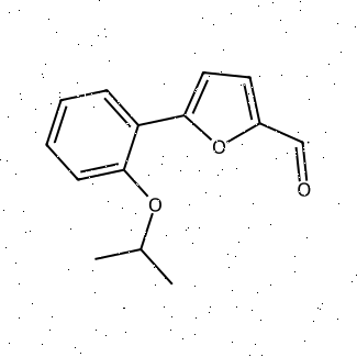 CC(C)Oc1ccccc1-c1ccc([C]=O)o1